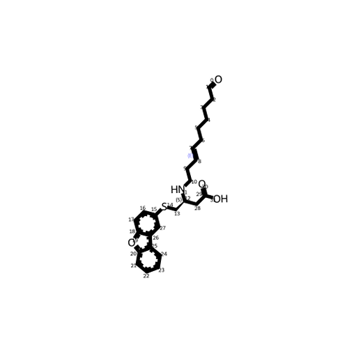 O=CCCCCC/C=C/CCN[C@H](CSc1ccc2oc3ccccc3c2c1)CC(=O)O